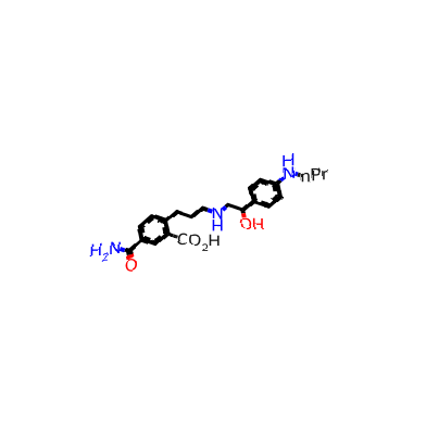 CCCNc1ccc(C(O)CNCCCc2ccc(C(N)=O)cc2C(=O)O)cc1